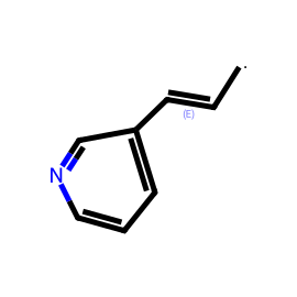 [CH2]/C=C/c1cccnc1